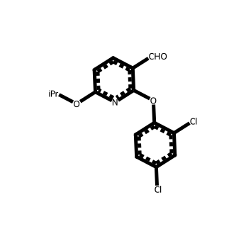 CC(C)Oc1ccc(C=O)c(Oc2ccc(Cl)cc2Cl)n1